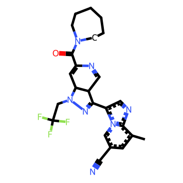 Cc1cc(C#N)cn2c(C3=NN(CC(F)(F)F)C4C=C(C(=O)N5CCCCCC5)N=CC34)cnc12